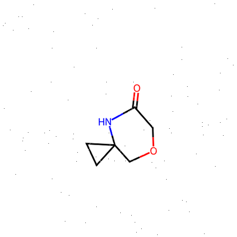 O=C1COCC2(CC2)N1